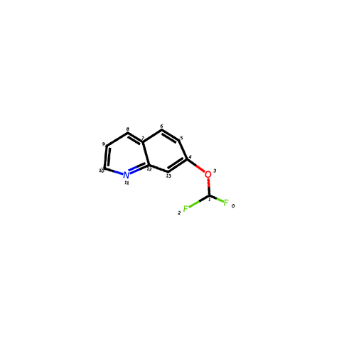 FC(F)Oc1ccc2cc[c]nc2c1